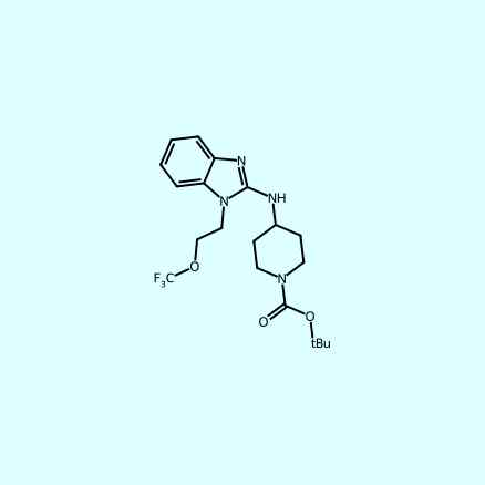 CC(C)(C)OC(=O)N1CCC(Nc2nc3ccccc3n2CCOC(F)(F)F)CC1